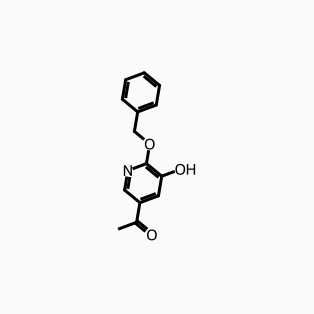 CC(=O)c1cnc(OCc2ccccc2)c(O)c1